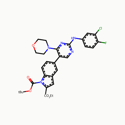 CCOC(=O)c1cc2cc(-c3cnc(Nc4ccc(F)c(Cl)c4)nc3N3CCOCC3)ccc2n1C(=O)OC(C)(C)C